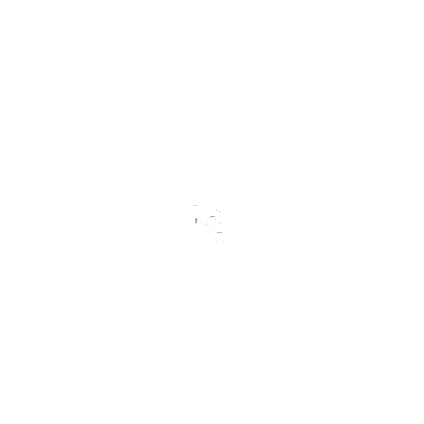 [CH2]c1ccc(-c2nc(Nc3cc(CCCCCCCCCCCCCCCCCCC)c(CCCCCCCCCCCCCCCCCCC)c(CCCCCCCCCCCCCCCCCCC)c3)nc(Nc3cc(CCCCCCCCCCCCCCCCCCC)c(CCCCCCCCCCCCCCCCCCC)c(CCCCCCCCCCCCCCCCCCC)c3)n2)cc1